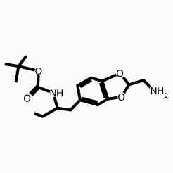 CCC(Cc1ccc2c(c1)OC(CN)O2)NC(=O)OC(C)(C)C